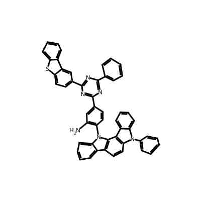 Nc1cc(-c2nc(-c3ccccc3)nc(-c3ccc4sc5ccccc5c4c3)n2)ccc1-n1c2ccccc2c2ccc3c(c4ccccc4n3-c3ccccc3)c21